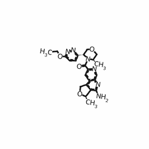 CCOc1ccc([C@@H]2COC[C@H](C)N2C(=O)c2cc3c4c(c(N)nc3cn2)[C@@H](C)OC4)nn1